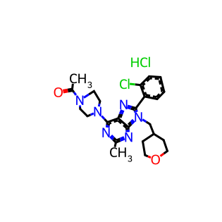 CC(=O)N1CCN(c2nc(C)nc3c2nc(-c2ccccc2Cl)n3CC2CCOCC2)CC1.Cl